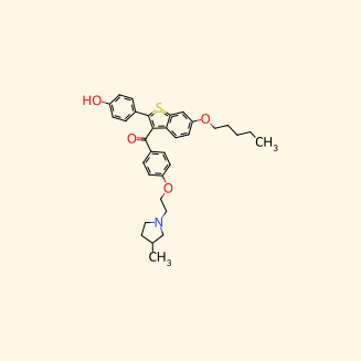 CCCCCOc1ccc2c(C(=O)c3ccc(OCCN4CCC(C)C4)cc3)c(-c3ccc(O)cc3)sc2c1